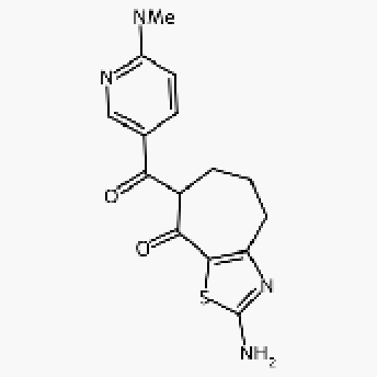 CNc1ccc(C(=O)C2CCCc3nc(N)sc3C2=O)cn1